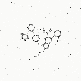 CCCCc1nc2cc(-c3cccc[n+]3[O-])c(C(OC)OC)nc2n1Cc1ccc(-c2ccccc2-c2nnn[nH]2)cc1